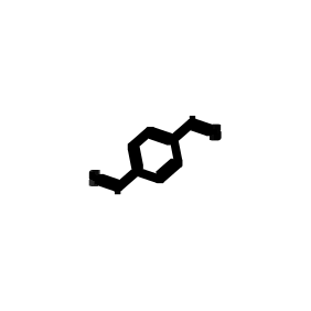 S=[C]c1ccc([C]=S)cc1